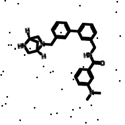 CN(C)c1cccc(C(=O)NCc2cccc(-c3cccc(CN4C[C@@H]5C[C@H]4CN5)c3)c2)c1